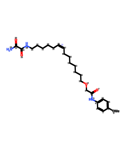 COc1ccc(NC(=O)COCCCCCCC/C=C\CCCCCNC(=O)C(N)=O)cc1